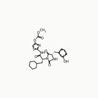 COC(=O)Oc1csc(NC(=O)[C@H](CC2CCCCC2)N2C(=O)N[C@@H](Cc3cccc(O)c3)C2=O)n1